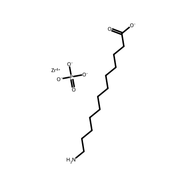 NCCCCCCCCCCCC(=O)[O-].O=P([O-])([O-])[O-].[Zr+4]